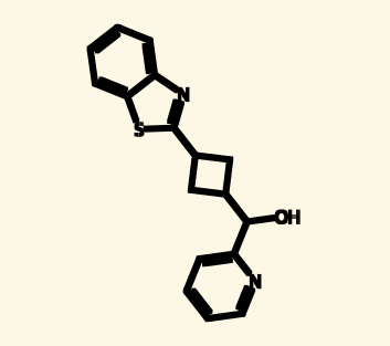 OC(c1ccccn1)C1CC(c2nc3ccccc3s2)C1